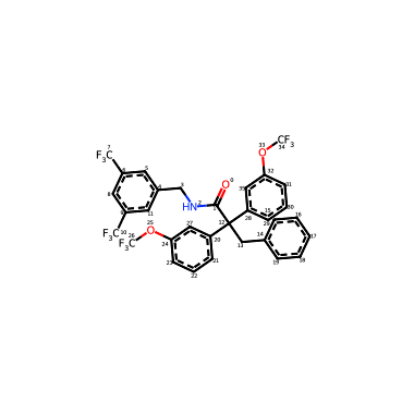 O=C(NCc1cc(C(F)(F)F)cc(C(F)(F)F)c1)C(Cc1ccccc1)(c1cccc(OC(F)(F)F)c1)c1cccc(OC(F)(F)F)c1